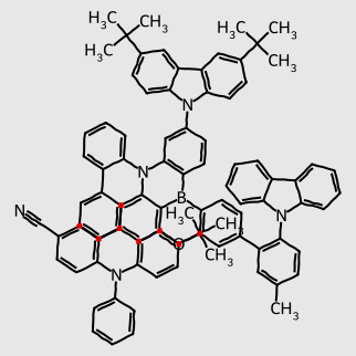 Cc1ccc(-n2c3ccccc3c3ccccc32)c(-c2ccc3c(c2)Oc2cc(-c4cc(C#N)ccc4N(c4ccccc4)c4ccc(C(C)(C)C)cc4)cc4c2B3c2ccc(-n3c5ccc(C(C)(C)C)cc5c5cc(C(C)(C)C)ccc53)cc2N4c2ccccc2-c2ccccc2)c1